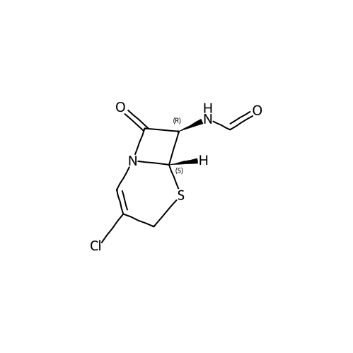 O=CN[C@@H]1C(=O)N2C=C(Cl)CS[C@@H]12